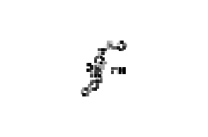 CN(CCOc1ccc(-n2nc(Oc3ccc(Cl)cc3)oc2=O)c(F)c1)Cc1ccccc1.Cl